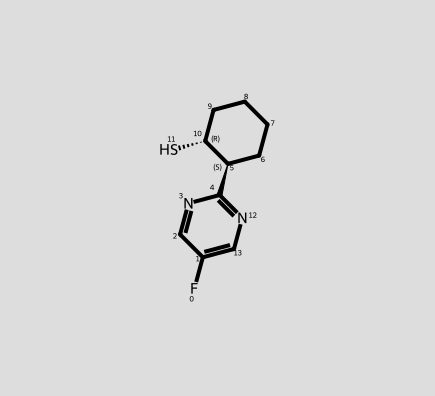 Fc1cnc([C@@H]2CCCC[C@H]2S)nc1